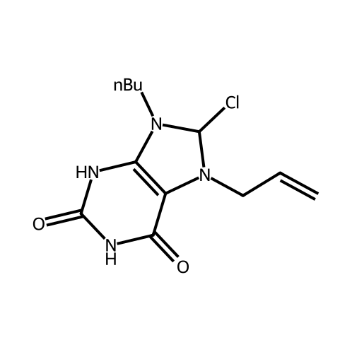 C=CCN1c2c([nH]c(=O)[nH]c2=O)N(CCCC)C1Cl